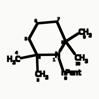 [CH2]CCCCN1C(C)(C)CCCC1(C)C